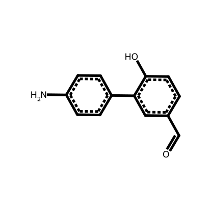 Nc1ccc(-c2cc(C=O)ccc2O)cc1